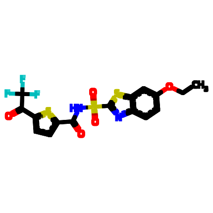 CCOc1ccc2nc(S(=O)(=O)NC(=O)c3ccc(C(=O)C(F)(F)F)s3)sc2c1